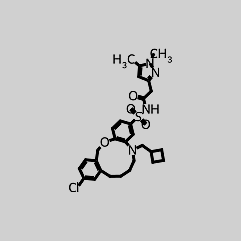 Cc1cc(CC(=O)NS(=O)(=O)c2ccc3c(c2)N(CC2CCC2)CCCCc2cc(Cl)ccc2CO3)nn1C